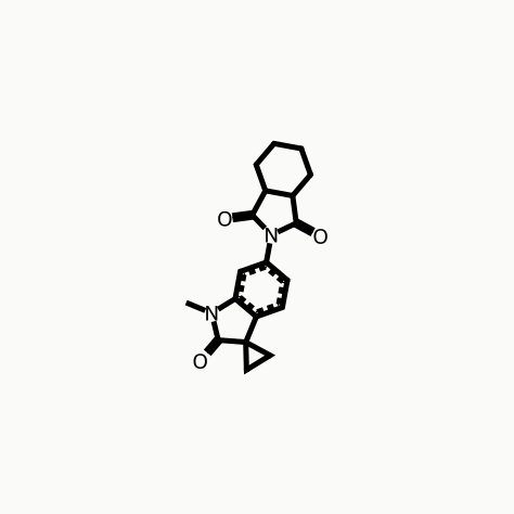 CN1C(=O)C2(CC2)c2ccc(N3C(=O)C4CCCCC4C3=O)cc21